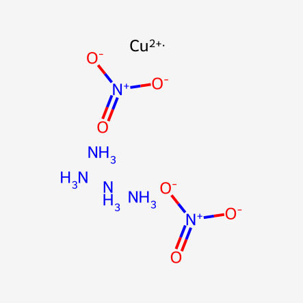 N.N.N.N.O=[N+]([O-])[O-].O=[N+]([O-])[O-].[Cu+2]